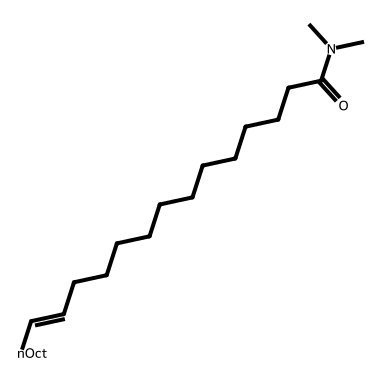 CCCCCCCCC=CCCCCCCCCCCCC(=O)N(C)C